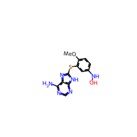 COc1ccc(NO)cc1Sc1nc2c(N)ncnc2[nH]1